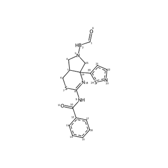 O=CBN1CC2CSC(NC(=O)c3ccccc3)=NC2(c2ccns2)C1